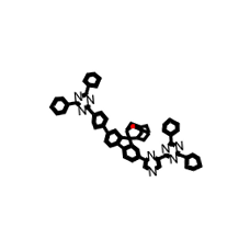 c1ccc(-c2nc(-c3ccccc3)nc(-c3ccc(-c4ccc5c(c4)C4(c6cc(-c7cncc(-c8nc(-c9ccccc9)nc(-c9ccccc9)n8)n7)ccc6-5)C5CC6CC(C5)CC4C6)cc3)n2)cc1